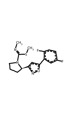 CN=C(SC)N1CCC[C@@H]1c1cc(-c2cc(F)ccc2F)on1